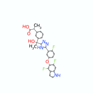 CC(C(=O)O)c1cccc(C(C)(O)c2nnc(-c3cc(Oc4c(F)cc5[nH]ccc5c4F)ccc3F)[nH]2)c1